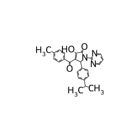 Cc1ccc(C(=O)C2=C(O)C(=O)N(c3ncccn3)C2c2ccc(C(C)C)cc2)cc1